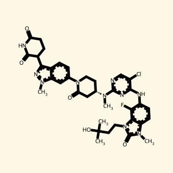 CN(c1ncc(Cl)c(Nc2ccc3c(c2F)n(CCC(C)(C)O)c(=O)n3C)n1)[C@H]1CCN(c2ccc3c(C4CCC(=O)NC4=O)nn(C)c3c2)C(=O)C1